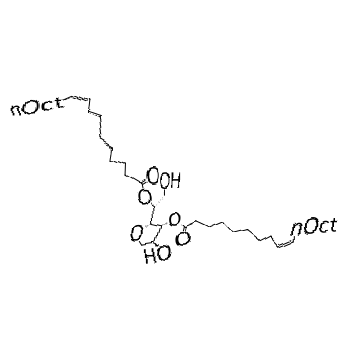 CCCCCCCC/C=C\CCCCCCCC(=O)O[C@H]1[C@@H]([C@@H](CO)OC(=O)CCCCCCC/C=C\CCCCCCCC)OC[C@@H]1O